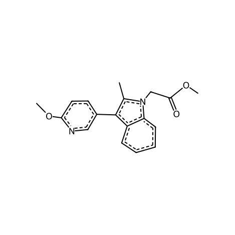 COC(=O)Cn1c(C)c(-c2ccc(OC)nc2)c2ccccc21